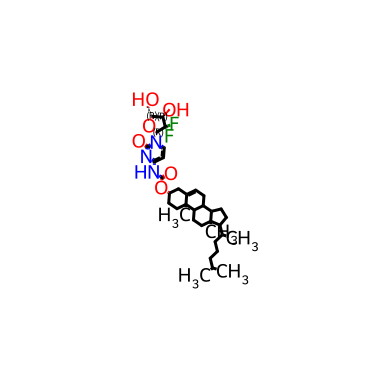 CC(C)CCCC(C)C1CCC2C3CC=C4CC(OC(=O)Nc5ccn([C@@H]6O[C@H](CO)[C@@H](O)C6(F)F)c(=O)n5)CCC4(C)C3CCC12C